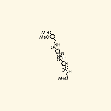 COCCNC(=O)Oc1ccc(C(=O)NS(=O)(=O)c2ccc(C(=O)NCCc3ccc(OC)c(OC)c3)cc2)cn1